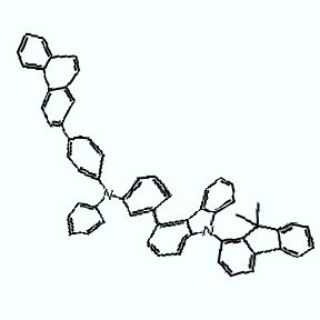 CC1(C)c2ccccc2-c2cccc(-n3c4ccccc4c4c(-c5cccc(N(c6ccccc6)c6ccc(-c7ccc8c(ccc9ccccc98)c7)cc6)c5)cccc43)c21